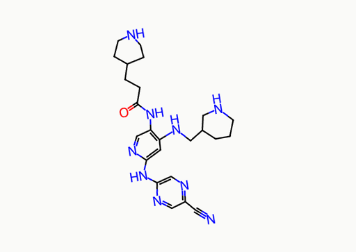 N#Cc1cnc(Nc2cc(NCC3CCCNC3)c(NC(=O)CCC3CCNCC3)cn2)cn1